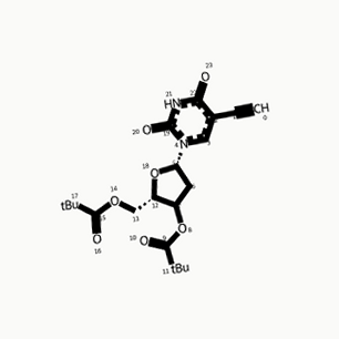 C#Cc1cn([C@@H]2CC(OC(=O)C(C)(C)C)[C@H](COC(=O)C(C)(C)C)O2)c(=O)[nH]c1=O